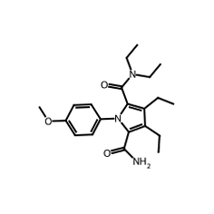 CCc1c(CC)c(C(=O)N(CC)CC)n(-c2ccc(OC)cc2)c1C(N)=O